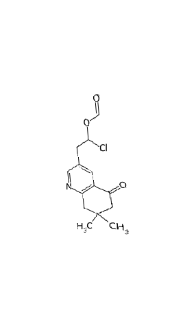 CC1(C)CC(=O)c2cc(CC(Cl)OC=O)cnc2C1